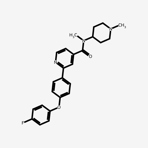 CN1CCC(N(C)C(=O)c2ccnc(-c3ccc(Oc4ccc(F)cc4)cc3)c2)CC1